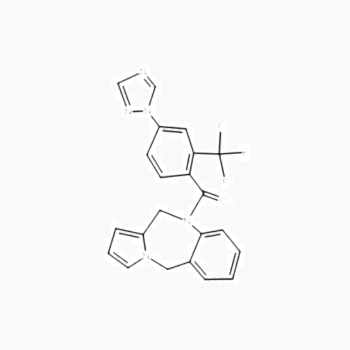 O=C(c1ccc(-n2cncn2)cc1C(F)(F)F)N1Cc2cccn2Cc2ccccc21